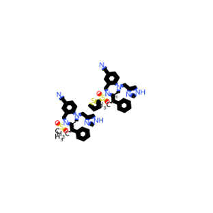 C[C@@H](c1ccccc1)[C@@H]1CN(Cc2c[nH]cn2)c2ccc(C#N)cc2CN1S(=O)(=O)c1cccs1.C[C@@H](c1ccccc1)[C@H]1CN(Cc2c[nH]cn2)c2ccc(C#N)cc2CN1S(C)(=O)=O